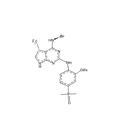 CC[C@H](C)Nc1nc(Nc2ccc(P(C)(C)=O)cc2OC)nc2[nH]cc(C(F)(F)F)c12